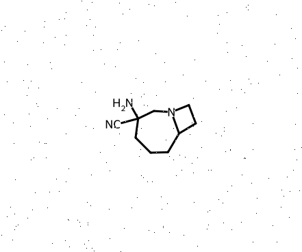 N#CC1(N)CCCC2CCN2C1